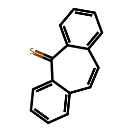 S=c1c2ccccc2ccc2ccccc12